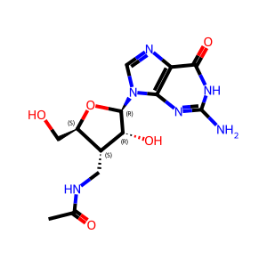 CC(=O)NC[C@H]1[C@@H](O)[C@H](n2cnc3c(=O)[nH]c(N)nc32)O[C@@H]1CO